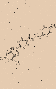 Cc1cc(Cl)cc2[nH]c(-c3ccc(NCCCC4CCN(C)CC4)nc3)nc12